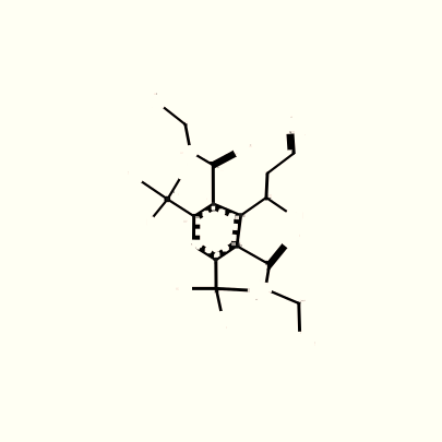 C=CCC(C)c1c(C(=O)OCC)c(C(F)(F)F)nc(C(F)(F)F)c1C(=O)OCC